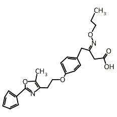 CCCO/N=C(/CC(=O)O)Cc1ccc(OCCc2nc(-c3ccccc3)oc2C)cc1